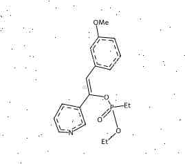 CCOP(=O)(CC)O/C(=C\c1cccc(OC)c1)c1cccnc1